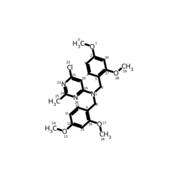 COc1ccc(CN(Cc2ccc(OC)cc2OC)c2cc(Cl)nc(C)n2)c(OC)c1